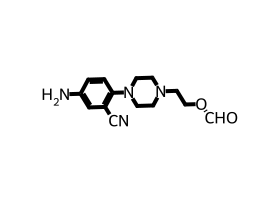 N#Cc1cc(N)ccc1N1CCN(CCOC=O)CC1